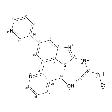 CCNC(=O)Nc1nc2cc(-c3cccnc3)cc(-c3ncccc3CO)c2s1